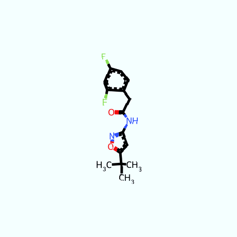 CC(C)(C)c1cc(NC(=O)Cc2ccc(F)cc2F)no1